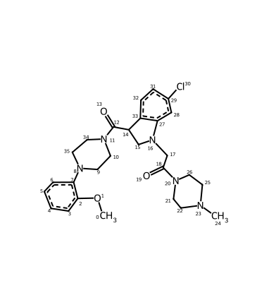 COc1ccccc1N1CCN(C(=O)C2CN(CC(=O)N3CCN(C)CC3)c3cc(Cl)ccc32)CC1